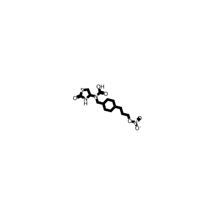 O=C1NC(N(CC2CCC(CCCO[N+](=O)[O-])CC2)C(=O)O)CS1